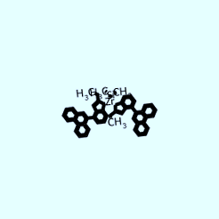 CCC1=Cc2c(-c3cc4ccccc4c4ccccc34)cccc2[CH]1[Zr]([CH]1C(CC)=Cc2c(-c3cc4ccccc4c4ccccc34)cccc21)=[Si](C)C